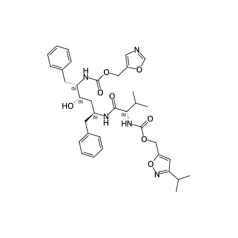 CC(C)c1cc(COC(=O)N[C@H](C(=O)N[C@@H](Cc2ccccc2)C[C@H](O)[C@H](Cc2ccccc2)NC(=O)OCc2cnco2)C(C)C)on1